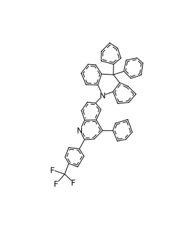 FC(F)(F)c1ccc(-c2cc(-c3ccccc3)c3cc(N4c5ccccc5C(c5ccccc5)(c5ccccc5)c5ccccc54)ccc3n2)cc1